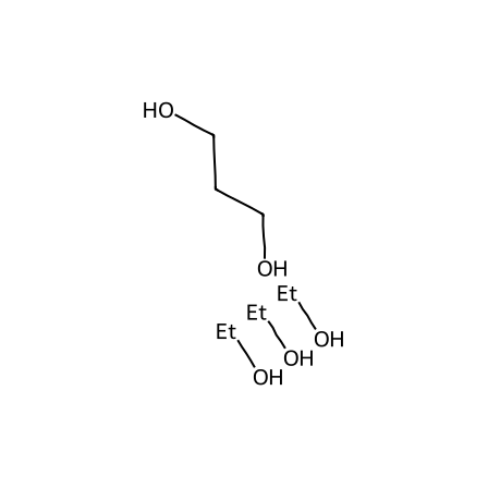 CCO.CCO.CCO.OCCCO